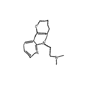 CN(C)CCn1c2c(c3cccnc31)OCCC2